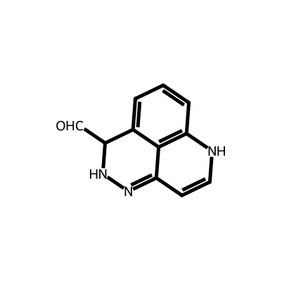 O=CC1NN=C2C=CNc3cccc1c32